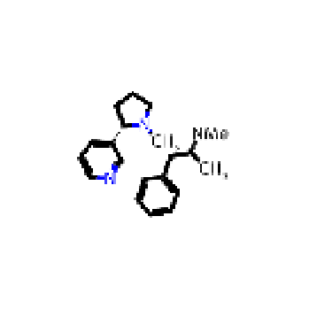 CN1CCC[C@H]1c1cccnc1.CNC(C)Cc1ccccc1